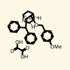 COc1ccc(CO[C@@H]2C3CCN(CC3)[C@@H]2C(c2ccccc2)c2ccccc2)cc1.O=C(O)C(=O)O